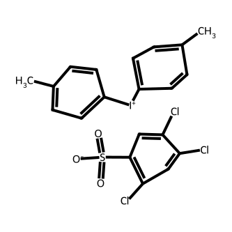 Cc1ccc([I+]c2ccc(C)cc2)cc1.O=S(=O)([O-])c1cc(Cl)c(Cl)cc1Cl